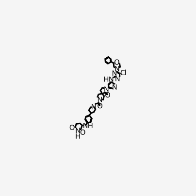 O=C1CCC(Nc2ccc(C3CCN(CC(=O)N4CCC5(CC4)CCN(c4cncc(Nc6ncc(Cl)c(N7CCOC(c8ccccc8)C7)n6)c4)C5=O)CC3)cc2)C(=O)N1